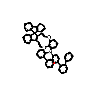 C1=CC2=C(CC1)c1ccccc1C21C2=C(/C=C/Oc3c(cccc3N(c3ccc(-c4ccccc4-c4ccccc4)cc3)c3ccccc3-c3ccccc3)O/C=C/2)c2ccccc21